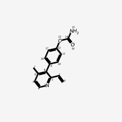 C=Cc1nccc(C)c1-c1ccc(OC(N)=O)cc1